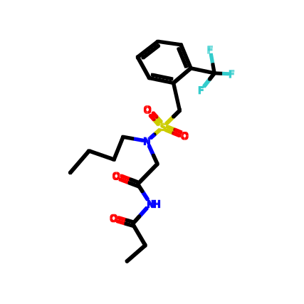 CCCCN(CC(=O)NC(=O)CC)S(=O)(=O)Cc1ccccc1C(F)(F)F